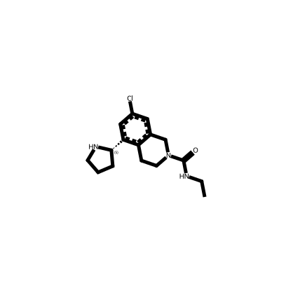 CCNC(=O)N1CCc2c(cc(Cl)cc2[C@@H]2CCCN2)C1